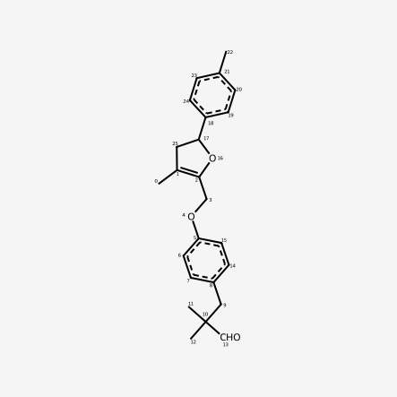 CC1=C(COc2ccc(CC(C)(C)C=O)cc2)OC(c2ccc(C)cc2)C1